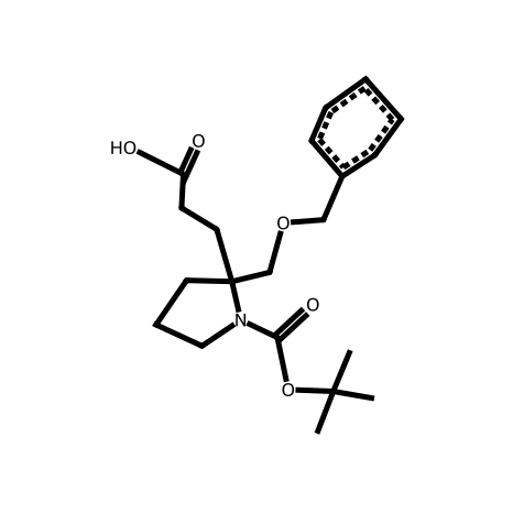 CC(C)(C)OC(=O)N1CCCC1(CCC(=O)O)COCc1ccccc1